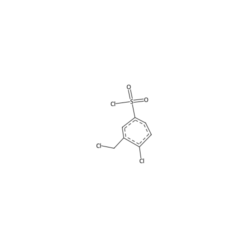 O=S(=O)(Cl)c1ccc(Cl)c(CCl)c1